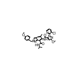 COc1ccc(Cn2cc3cc(C)c(NC(=O)c4cc(OC)nn4-c4ncccc4Cl)c(C(=O)NC(C)C)c3n2)cc1